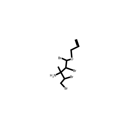 C=CCOC(Br)C(Br)C(C)(N)C(Br)CBr